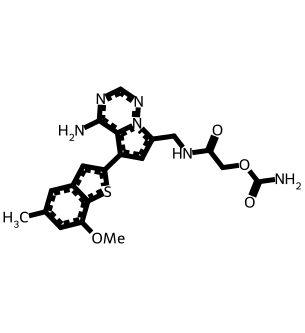 COc1cc(C)cc2cc(-c3cc(CNC(=O)COC(N)=O)n4ncnc(N)c34)sc12